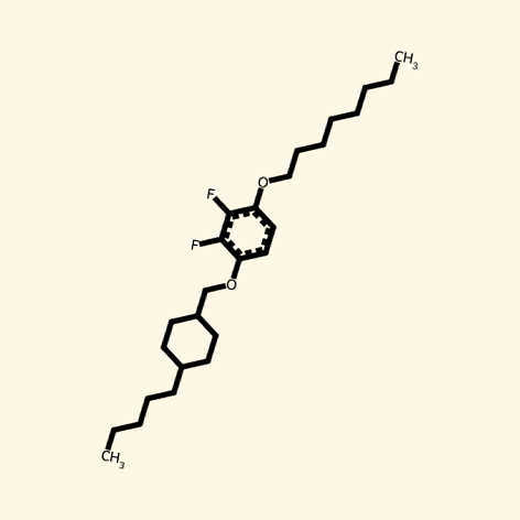 CCCCCCCCOc1ccc(OCC2CCC(CCCCC)CC2)c(F)c1F